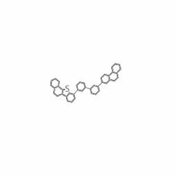 c1cc(-c2cccc(-c3cccc4c3sc3c5ccccc5ccc43)c2)cc(-c2ccc3c(ccc4ccccc43)c2)c1